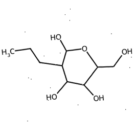 CCCC1C(O)OC(CO)C(O)C1O